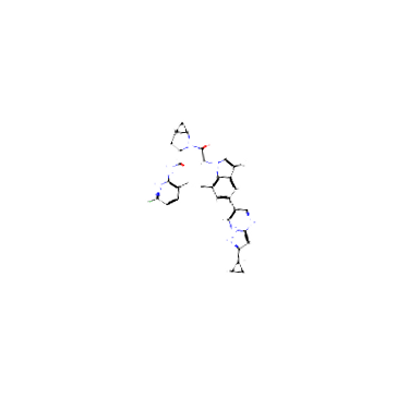 CC(=O)c1cn(CC(=O)N2C3C[C@]3(C)C[C@H]2C(=O)Nc2nc(Br)ccc2C)c2c(C)cc(-c3cnc4cc(C5CC5)nn4c3)cc12